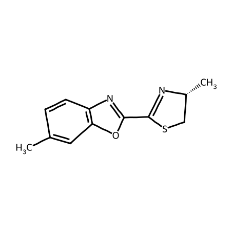 Cc1ccc2nc(C3=N[C@H](C)CS3)oc2c1